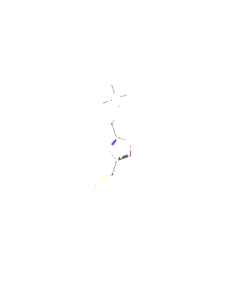 CC(=O)SCc1coc(CO[Si](C)(C)C(C)(C)C)n1